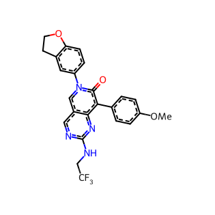 COc1ccc(-c2c(=O)n(-c3ccc4c(c3)CCO4)cc3cnc(NCC(F)(F)F)nc23)cc1